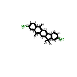 Cc1c2ccc(Br)cc2c(C)c2cc3c(cc12)-c1ccc(Br)cc1C3(C)C